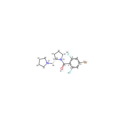 O=C(c1c(F)cc(Br)cc1F)N1CCC[C@H]1CN1CCCC1